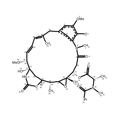 COc1cc2cc(c1Cl)N(C)C(=O)C[C@H](OC(=O)[C@H](C)N(C)C(=O)C(C)C)[C@]1(C)OC1[C@H](C)[C@@H]1C[C@@](O)(NC(=O)O1)[C@H](OC)/C=C/C=C(\C)C2